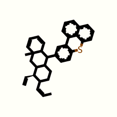 C=C[C@@H]1C(/C=C\C)CCC2C(c3ccc4c(c3)-c3cccc5cccc(c35)S4)C3C=CC=CC3(C)CC21